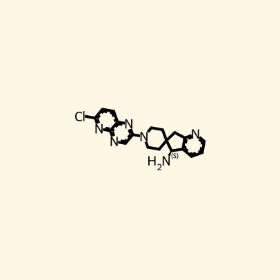 N[C@@H]1c2cccnc2CC12CCN(c1cnc3nc(Cl)ccc3n1)CC2